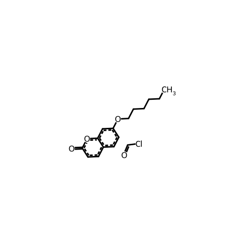 CCCCCCOc1ccc2ccc(=O)oc2c1.O=CCl